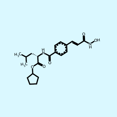 CC(C)C[C@H](NC(=O)c1ccc(/C=C/C(=O)NO)cc1)C(=O)OC1CCCC1